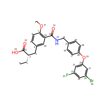 CC[C@@H](Cc1ccc(OC)c(C(=O)NCc2ccc(Oc3cc(F)cc(Br)c3)cc2)c1)C(=O)O